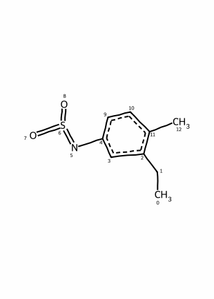 CCc1cc(N=S(=O)=O)ccc1C